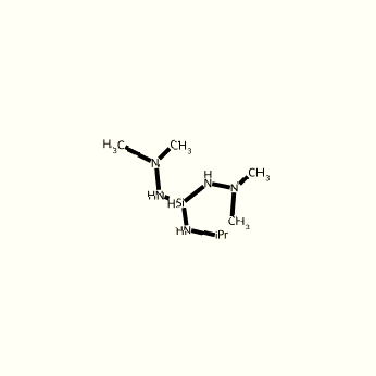 CC(C)N[SiH](NN(C)C)NN(C)C